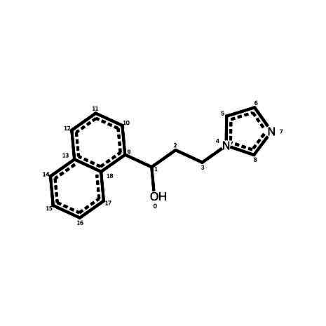 OC(CCn1ccnc1)c1cccc2ccccc12